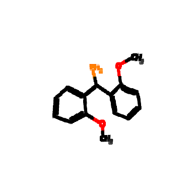 COc1ccccc1C(P)c1ccccc1OC